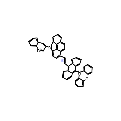 Fc1ccccc1N(c1ccccc1)c1c2ccccc2c(/C=C/c2ccc3c4c2ccc2cccc(c24)n3-c2cnc3ccccc3c2)c2ccccc12